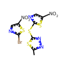 Cc1nnc(Sc2ncc([N+](=O)[O-])s2)s1.O=[N+]([O-])c1cnc(Br)s1